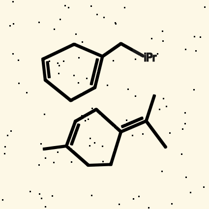 CC(C)CC1=CCC=CC1.CC1=CCC(=C(C)C)CC1